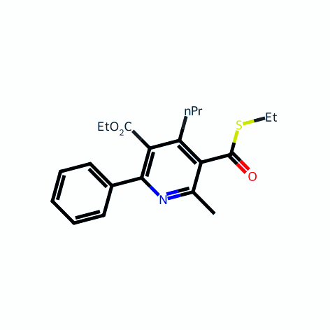 CCCc1c(C(=O)SCC)c(C)nc(-c2ccccc2)c1C(=O)OCC